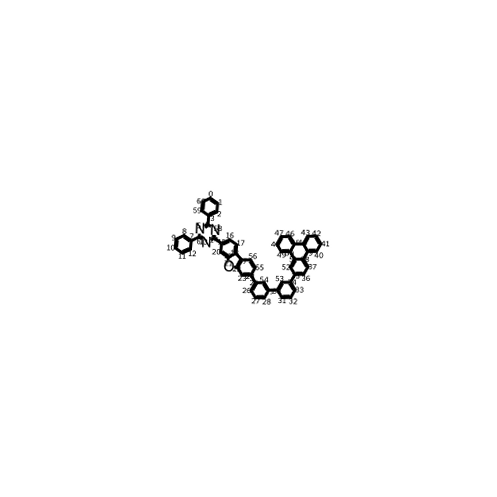 c1ccc(-c2nc(-c3ccccc3)nc(-c3ccc4c(c3)oc3cc(-c5cccc(-c6cccc(-c7ccc8c9ccccc9c9ccccc9c8c7)c6)c5)ccc34)n2)cc1